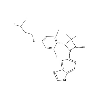 CC1(C)C(=O)N(c2ccc3[nH]cnc3c2)[C@@H]1c1c(F)cc(OCCC(F)F)cc1F